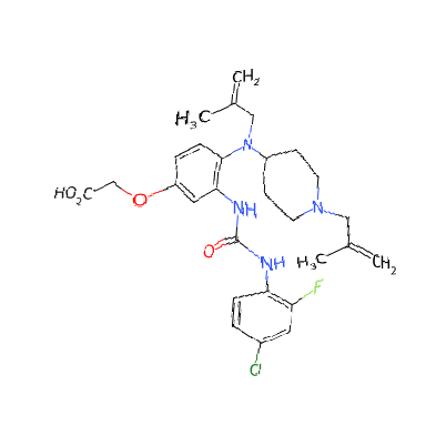 C=C(C)CN1CCC(N(CC(=C)C)c2ccc(OCC(=O)O)cc2NC(=O)Nc2ccc(Cl)cc2F)CC1